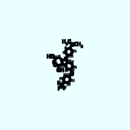 CN(C)c1ccc(-n2c(CC(=O)O)c(C(=O)O)c3cc(Oc4ccc(C(F)(F)F)cc4)ccc32)cc1